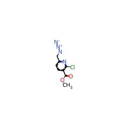 COC(=O)c1ccc(CN=[N+]=[N-])nc1Cl